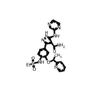 CCS(=O)(=O)Nc1ccc(-c2n[nH]c(Nc3cnccn3)c2C(N)=O)cc1OC(C)c1ccccn1